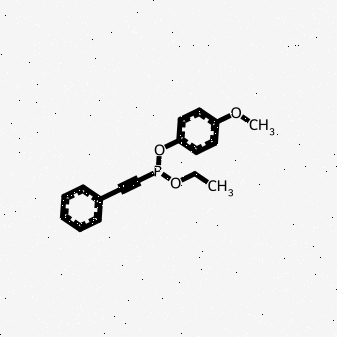 CCOP(C#Cc1ccccc1)Oc1ccc(OC)cc1